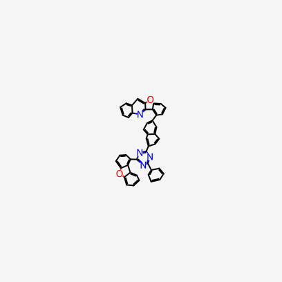 c1ccc(-c2nc(-c3ccc4cc(-c5cccc6oc7cc8ccccc8nc7c56)ccc4c3)nc(-c3cccc4oc5ccccc5c34)n2)cc1